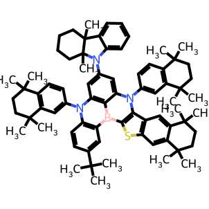 CC(C)(C)c1ccc2c(c1)B1c3sc4cc5c(cc4c3N(c3ccc4c(c3)C(C)(C)CCC4(C)C)c3cc(N4c6ccccc6C6(C)CCCCC46C)cc(c31)N2c1ccc2c(c1)C(C)(C)CCC2(C)C)C(C)(C)CCC5(C)C